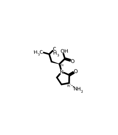 CC(C)C[C@@H](C(=O)O)N1CC[C@@H](N)C1=O